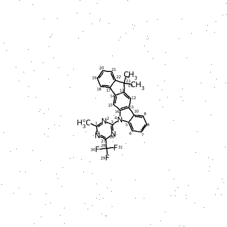 Cc1nc(-n2c3ccccc3c3cc4c(cc32)-c2ccccc2C4(C)C)nc(C(F)(F)F)n1